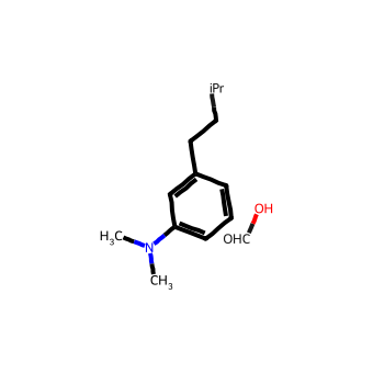 CC(C)CCc1cccc(N(C)C)c1.O=CO